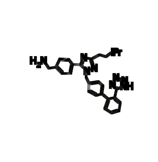 CC(C)CCc1nc(-c2ccc(CN)cc2)n(Cc2ccc(-c3ccccc3-c3nnn[nH]3)cc2)n1